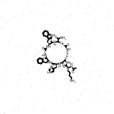 CC(=O)N[C@@H](CCCCN)C(=O)NC1CCCNC(=O)CCC(C(N)=O)NC(=O)[C@H](Cc2c[nH]c3ccccc23)NC(=O)CNC(=O)C(Cc2ccccc2)NC(=O)[C@H](Cc2c[nH]cn2)NC1=O